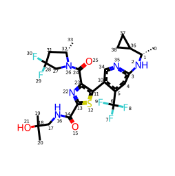 C[C@H](Nc1cc(C(F)(F)F)c(-c2sc(C(=O)NCC(C)(C)O)nc2C(=O)N2CC(F)(F)C[C@@H]2C)cn1)C1CC1